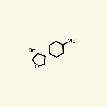 C1CCOC1.[Br-].[Mg+][CH]1CCCCC1